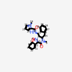 CN(C(=O)c1noc2ccccc12)C(CCNC(=O)c1cccn1C)Cc1ccccc1